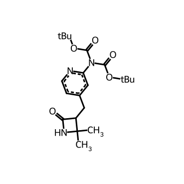 CC(C)(C)OC(=O)N(C(=O)OC(C)(C)C)c1cc(CC2C(=O)NC2(C)C)ccn1